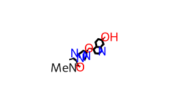 CNC(=O)c1c(C)nc2cc(Oc3ccnc4cc(O)ccc34)ncn12